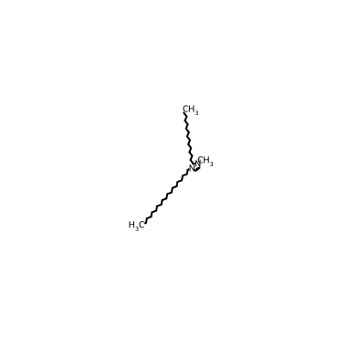 CCCCCCCCCCCCCCCCCCCN1C=CN(C)C1CCCCCCCCCCCCCC